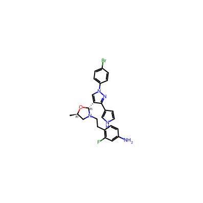 C[C@@H]1CN(CCc2ccc(N)cc2F)[C@@H](c2cn(-c3ccc(Br)cc3)nc2-c2cc[nH]c2)O1